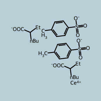 CCCCC(CC)C(=O)[O-].CCCCC(CC)C(=O)[O-].Cc1ccc(S(=O)(=O)[O-])cc1.Cc1ccc(S(=O)(=O)[O-])cc1.[Ce+4]